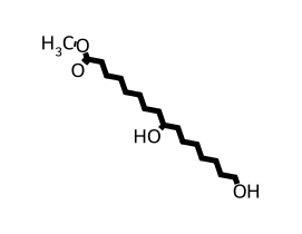 COC(=O)CCCCCCCC(O)CCCCCCCO